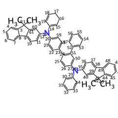 CC1(C)c2ccccc2-c2ccc(N(C3=CCCC=C3)c3ccc(-c4ccc(N(c5ccccc5)c5ccc6c(c5)C(C)(C)c5ccccc5-6)cc4-c4ccccc4)cc3)cc21